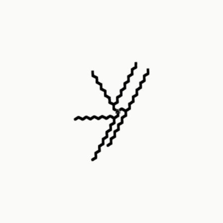 CCCCCCCCCCCCC(CCCCCCCCCC)[CH2][Al]([CH2]C(CCCCCCCCCC)CCCCCCCCCCCC)[CH2]C(CCCCCCCCCC)CCCCCCCCCCCC